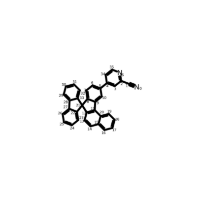 N#Cc1cc(-c2ccc3c(c2)-c2c(ccc4ccccc24)C32c3ccccc3-c3ccccc32)ccn1